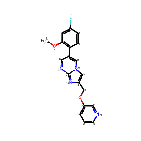 COc1cc(F)ccc1-c1cnc2nc(COc3cccnc3)cn2c1